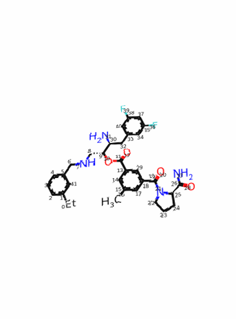 CCc1cccc(CNC[C@@H](OC(=O)c2cc(C)cc(C(=O)N3CCC[C@@H]3C(N)=O)c2)[C@@H](N)Cc2cc(F)cc(F)c2)c1